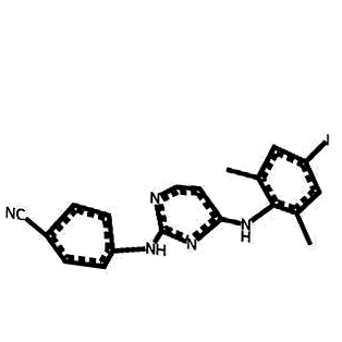 Cc1cc(I)cc(C)c1Nc1ccnc(Nc2ccc(C#N)cc2)n1